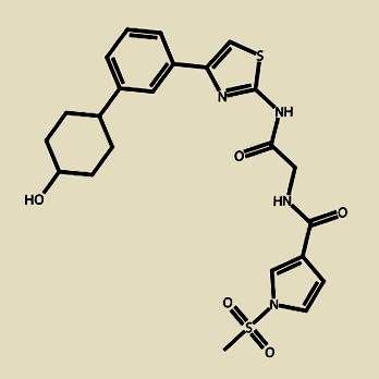 CS(=O)(=O)n1ccc(C(=O)NCC(=O)Nc2nc(-c3cccc(C4CCC(O)CC4)c3)cs2)c1